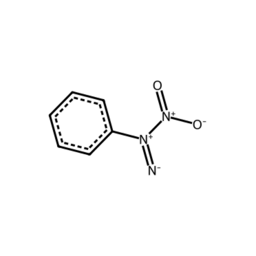 [N-]=[N+](c1ccccc1)[N+](=O)[O-]